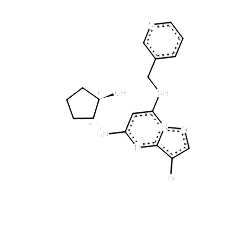 O[C@@H]1CCC[C@H]1Nc1cc(NCc2cccnc2)n2ncc(Br)c2n1